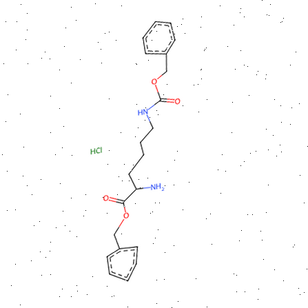 Cl.NC(CCCCNC(=O)OCc1ccccc1)C(=O)OCc1ccccc1